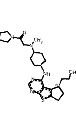 CN(CC(=O)N1CCCC1)C1CCC(Nc2ncnc3sc4c(c23)[C@@H](CCO)CC4)CC1